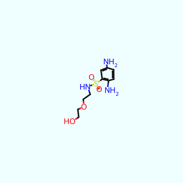 Nc1ccc(N)c(S(=O)(=O)NCCOCCO)c1